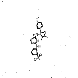 COc1ccc(-n2nc(C)c(C)c2Nc2ccnc(Nc3cccc(S(C)(=O)=O)c3)n2)cc1